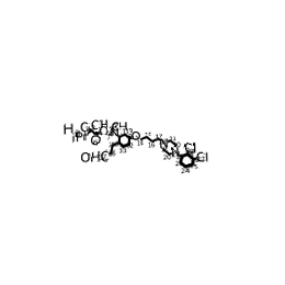 CC(C)C(C)(C)C(=O)OCN(C)c1cc(OCCCCN2CCN(c3cccc(Cl)c3Cl)CC2)ccc1CCC=O